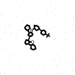 CC(C)(C)c1ccc(-c2cccc(-n3c4ccccc4c4cc(-c5cccc6c5oc5ccccc56)ccc43)c2)cc1